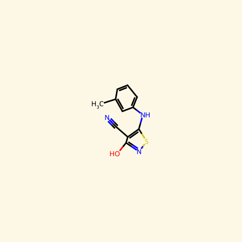 Cc1cccc(Nc2snc(O)c2C#N)c1